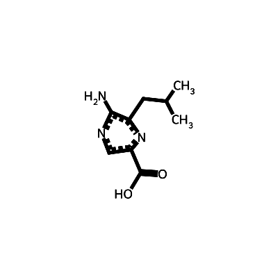 CC(C)Cc1nc(C(=O)O)cnc1N